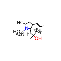 CC=C[C@@H]1C[C@H](C#N)N(C(=O)O)[C@@]1([C@@H](NC(C)=O)[C@@](C)(O)CCC)C(C)(C)C